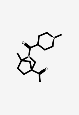 CC(=O)C12CCC(C)(C1)N(C(=O)C1CCN(C)CC1)C2